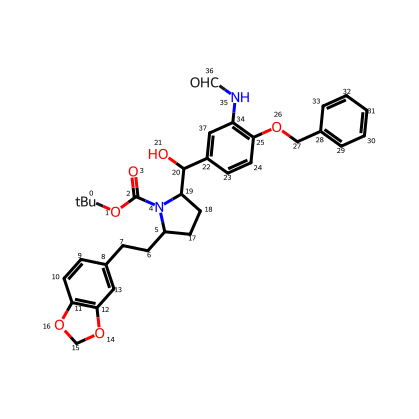 CC(C)(C)OC(=O)N1C(CCc2ccc3c(c2)OCO3)CCC1C(O)c1ccc(OCc2ccccc2)c(NC=O)c1